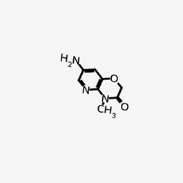 CN1C(=O)COc2cc(N)cnc21